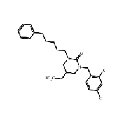 O=C(O)CC1CN(CCCCCc2ccccc2)C(=O)N(Cc2ccc(Cl)cc2Cl)C1